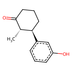 C[C@@H]1C(=O)CCC[C@H]1c1cccc(O)c1